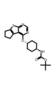 CC(C)(C)OC(=O)N[C@H]1CC[C@H](Oc2ncnc3sc4c(c23)CCC4)CC1